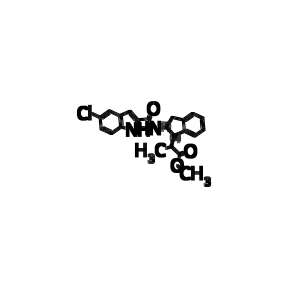 COC(=O)C(C)[C@@H]1c2ccccc2C[C@H]1NC(=O)c1cc2cc(Cl)ccc2[nH]1